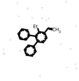 C=Cc1ccc(-c2ccccc2)c(-c2ccccc2)c1CC